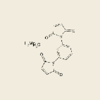 O.O=C1C=CC(=O)N1c1cccc(N2C(=O)C=CC2=O)c1.[MgH2]